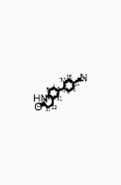 N#Cc1ccc(-c2ccc3c(c2)CCC(=O)N3)cc1